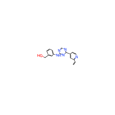 C=Cc1cc(-c2ncnc(Nc3cccc(CO)c3)n2)ccn1